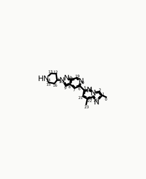 Cc1cn2nc(-c3cc4cn(C5CCNCC5)nc4cn3)cc(C)c2n1